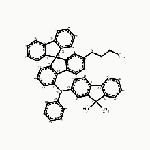 CCCCc1ccc2c(c1)C1(c3ccccc3-c3ccccc31)c1cccc(N(c3ccccc3)c3ccc4c(c3)C(C)(C)c3ccccc3-4)c1-2